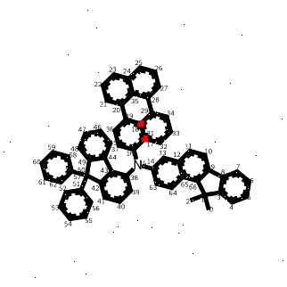 CC1(C)c2ccccc2-c2ccc3cc(N(c4ccc(-c5cccc6cccc(-c7ccccc7)c56)cc4)c4cccc5c4-c4ccccc4C5(c4ccccc4)c4ccccc4)ccc3c21